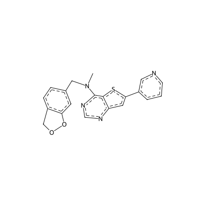 CN(Cc1ccc2c(c1)OOC2)c1ncnc2cc(-c3cccnc3)sc12